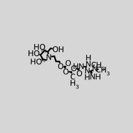 CC(OC(=O)NC(=N)NC(=N)N(C)C)OC(=O)OCCCN1C[C@@H](O)C(O)[C@H](O)C1CO